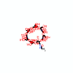 C=CC(=O)NCC1OC2OC3C(CO)OC(OC(CCO)/C(O)=C(/O)C(O)OC4C(CO)OC(OC5C(CO)OC(OC(CCO)/C(O)=C(/O)C(O)OC(CCO)/C(O)=C(/O)C(O)OC1C(O)C2O)C(O)C5O)C(O)C4O)C(O)C3O